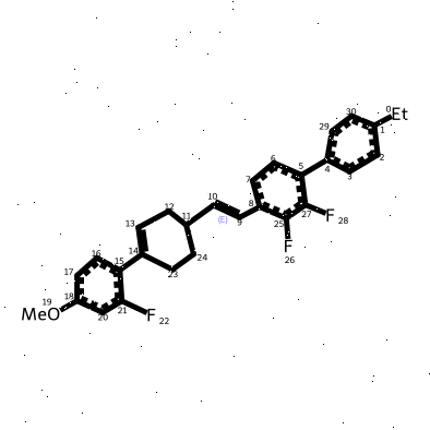 CCc1ccc(-c2ccc(/C=C/C3CC=C(c4ccc(OC)cc4F)CC3)c(F)c2F)cc1